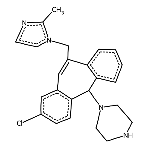 Cc1nccn1CC1=Cc2cc(Cl)ccc2C(N2CCNCC2)c2ccccc21